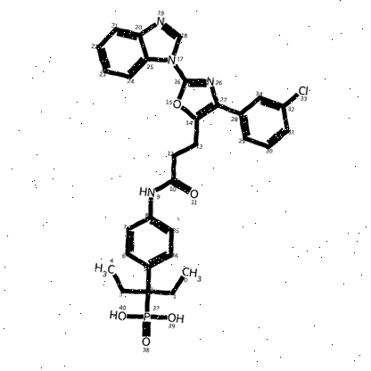 CCC(CC)(c1ccc(NC(=O)CCc2oc(-n3cnc4ccccc43)nc2-c2cccc(Cl)c2)cc1)P(=O)(O)O